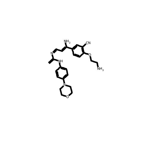 C=C(/N=C\C=C(/N)c1ccc(OCCN)c(C#N)c1)Nc1ccc(N2CCOCC2)cc1